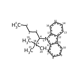 CCCCC(n1c2ccccc2c2ccccc21)[N+](C)(C)C